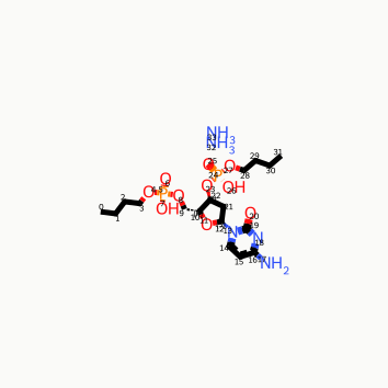 CCCCOP(=O)(O)OC[C@H]1O[C@H](n2ccc(N)nc2=O)C[C@@H]1OP(=O)(O)OCCCC.N.N